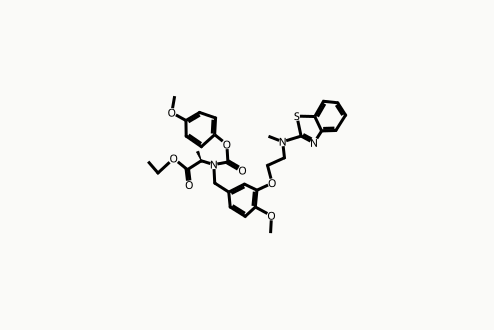 CCOC(=O)[C@@H](C)N(Cc1ccc(OC)c(OCCN(C)c2nc3ccccc3s2)c1)C(=O)Oc1ccc(OC)cc1